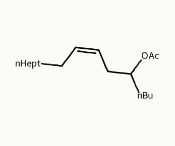 CCCCCCCC/C=C\CC(CCCC)OC(C)=O